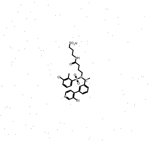 CCc1cnccc1-c1cccc([C@H](C)N(CCCC(=O)NCCCS(=O)(=O)O)S(=O)(=O)c2cccc(Cl)c2C)c1